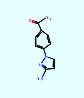 CC(=O)c1ccc(-n2ccc(N)n2)cc1